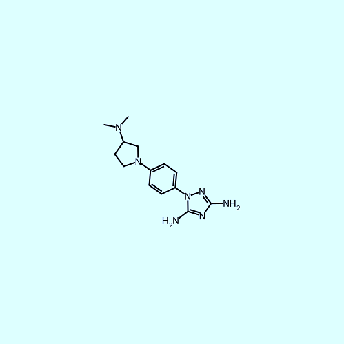 CN(C)C1CCN(c2ccc(-n3nc(N)nc3N)cc2)C1